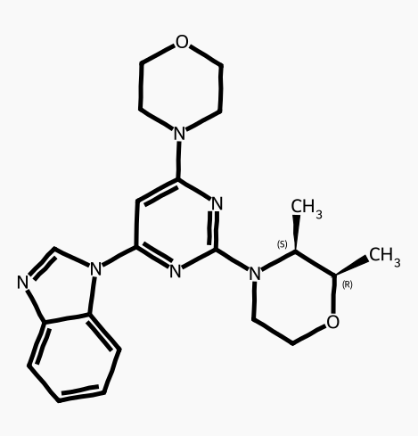 C[C@H]1OCCN(c2nc(N3CCOCC3)cc(-n3cnc4ccccc43)n2)[C@H]1C